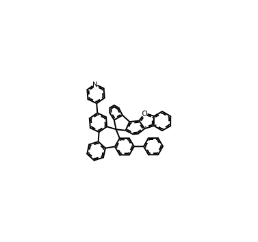 c1ccc(-c2ccc3c(c2)C2(c4cc(-c5ccncc5)ccc4-c4ccccc4-3)c3ccccc3-c3c2ccc2c3oc3ccccc32)cc1